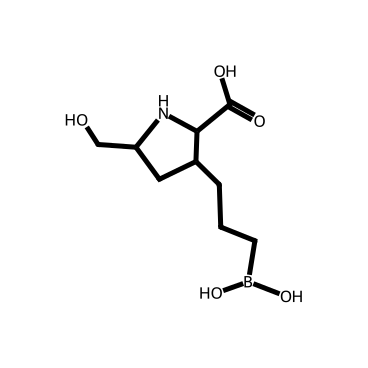 O=C(O)C1NC(CO)CC1CCCB(O)O